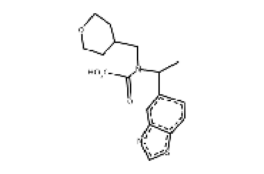 CC(c1ccc2scnc2c1)N(CC1CCOCC1)C(=O)C(=O)O